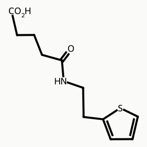 O=C(O)CCCC(=O)NCCc1cccs1